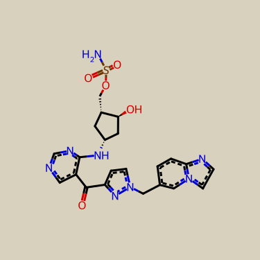 NS(=O)(=O)OC[C@H]1C[C@@H](Nc2ncncc2C(=O)c2ccn(Cc3ccc4nccn4c3)n2)C[C@@H]1O